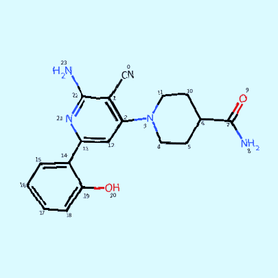 N#Cc1c(N2CCC(C(N)=O)CC2)cc(-c2ccccc2O)nc1N